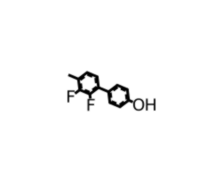 Cc1ccc(-c2ccc(O)cc2)c(F)c1F